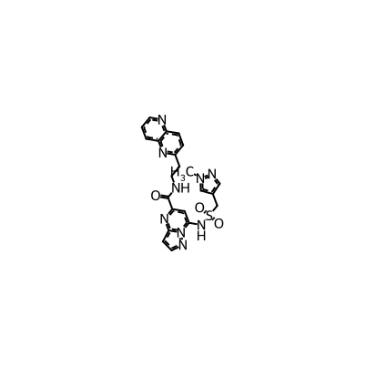 Cn1cc(CS(=O)(=O)Nc2cc(C(=O)NCCc3ccc4ncccc4n3)nc3ccnn23)cn1